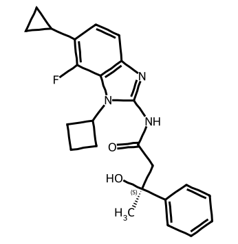 C[C@](O)(CC(=O)Nc1nc2ccc(C3CC3)c(F)c2n1C1CCC1)c1ccccc1